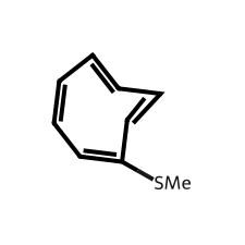 CSC1=C/C=C\C=C\C=C\1